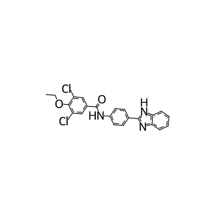 CCOc1c(Cl)cc(C(=O)Nc2ccc(-c3nc4ccccc4[nH]3)cc2)cc1Cl